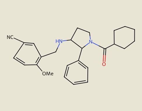 COc1ccc(C#N)cc1CNC1CCN(C(=O)C2CCCCC2)C1c1ccccc1